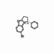 Brc1ccc2nc3n(c2c1)[C@@H](c1ccccc1)CC3